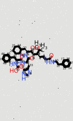 CC(C)[C@@H](C/C=C/C(=O)NCCc1ccccc1)C[C@@H](O)[C@H](CC1CCCCC1)NC(=O)[C@H](Cc1c[nH]cn1)NC(=O)C(Cc1ccccc1)NC(=O)O